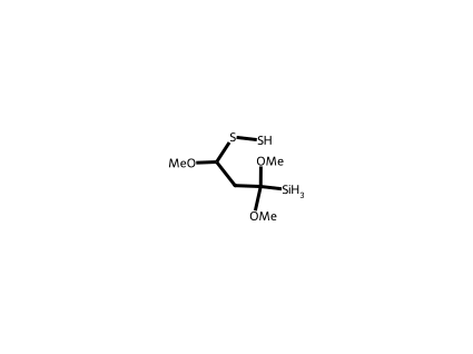 COC(CC([SiH3])(OC)OC)SS